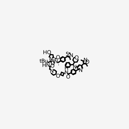 Cc1ncsc1-c1ccc([C@H](C)NC(=O)[C@@H]2C[C@@H](O)CN2C(=O)[C@@H](NC(=O)CN2CCC(O[C@H]3C[C@H](NC(=O)c4ccc5c6ncc(-c7c(C)noc7C)cc6n(C(c6ccccc6)C6CCOCC6)c5c4)C3)CC2)C(C)(C)C)cc1